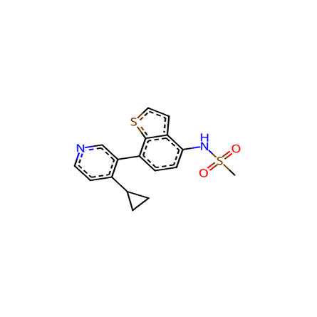 CS(=O)(=O)Nc1ccc(-c2cnccc2C2CC2)c2sccc12